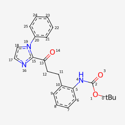 CC(C)(C)OC(=O)Nc1ccccc1CCC(=O)c1nccn1-c1ccccc1